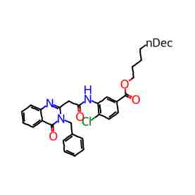 CCCCCCCCCCCCCCOC(=O)c1ccc(Cl)c(NC(=O)Cc2nc3ccccc3c(=O)n2Cc2ccccc2)c1